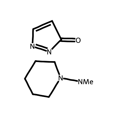 CNN1CCCCC1.O=C1C=CN=N1